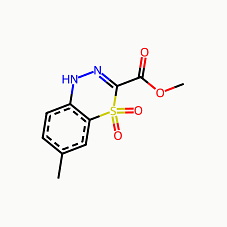 COC(=O)C1=NNc2ccc(C)cc2S1(=O)=O